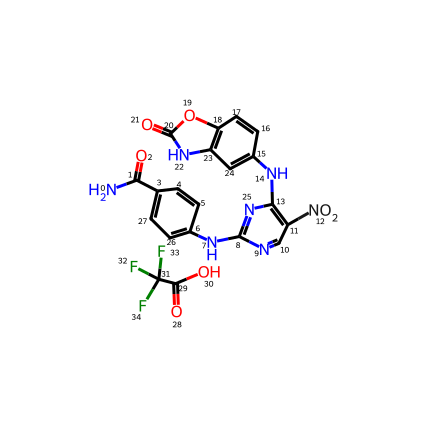 NC(=O)c1ccc(Nc2ncc([N+](=O)[O-])c(Nc3ccc4oc(=O)[nH]c4c3)n2)cc1.O=C(O)C(F)(F)F